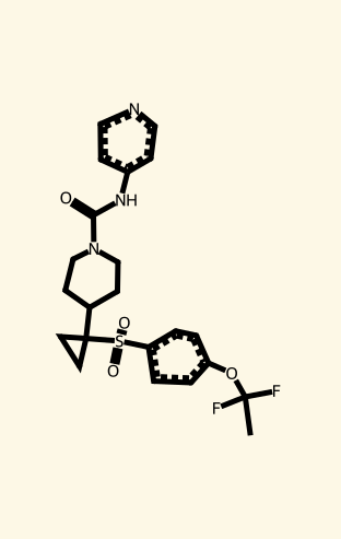 CC(F)(F)Oc1ccc(S(=O)(=O)C2(C3CCN(C(=O)Nc4ccncc4)CC3)CC2)cc1